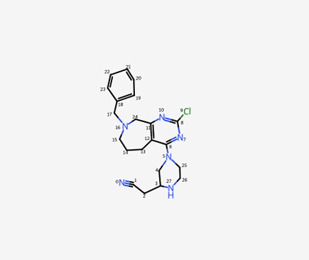 N#CCC1CN(c2nc(Cl)nc3c2CCCN(Cc2ccccc2)C3)CCN1